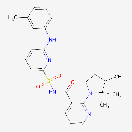 Cc1cccc(Nc2cccc(S(=O)(=O)NC(=O)c3cccnc3N3CCC(C)C3(C)C)n2)c1